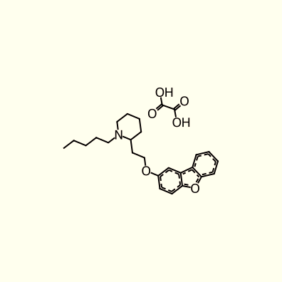 CCCCCN1CCCCC1CCOc1ccc2oc3ccccc3c2c1.O=C(O)C(=O)O